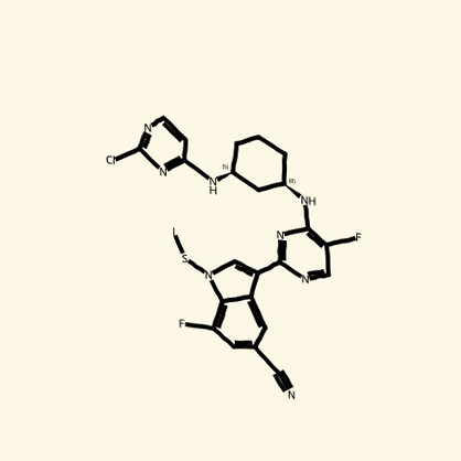 N#Cc1cc(F)c2c(c1)c(-c1ncc(F)c(N[C@@H]3CCC[C@H](Nc4ccnc(Cl)n4)C3)n1)cn2SI